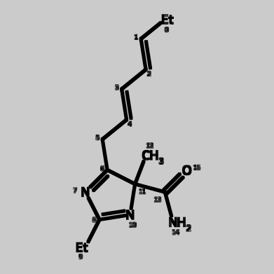 CCC=CC=CCC1=NC(CC)=NC1(C)C(N)=O